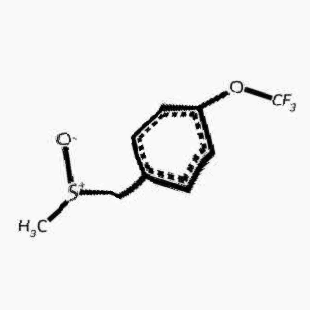 C[S+]([O-])Cc1ccc(OC(F)(F)F)cc1